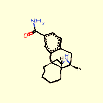 NC(=O)c1ccc2c(c1)[C@@]13CCCC[C@H]1[C@@H](C2)NCC3